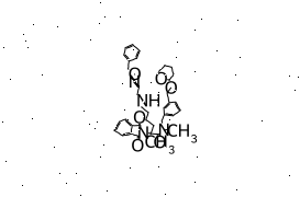 CN(Cc1cccc(COC2CCCCO2)c1)C(=O)C(C)(CCCCNCC=NOCc1ccccc1)N1C(=O)c2ccccc2C1=O